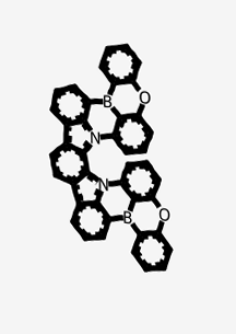 c1ccc2c(c1)Oc1cccc3c1B2c1cccc2c4ccc5c6cccc7c6n(c5c4n-3c12)-c1cccc2c1B7c1ccccc1O2